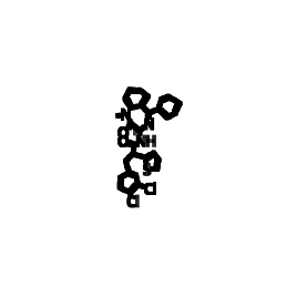 CN1C(=O)[C@@H](NC(=O)C(Cc2ccc(Cl)c(Cl)c2)c2cccs2)N=C(c2ccccc2)c2ccccc21